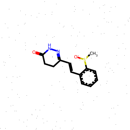 C[S+]([O-])c1ccccc1C=CC1=NNC(=O)CC1